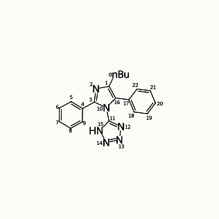 CCCCc1nc(-c2ccccc2)n(-c2nnn[nH]2)c1-c1ccccc1